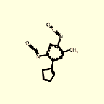 Cc1cc(C2=CCCC2)c(N=C=O)cc1N=C=O